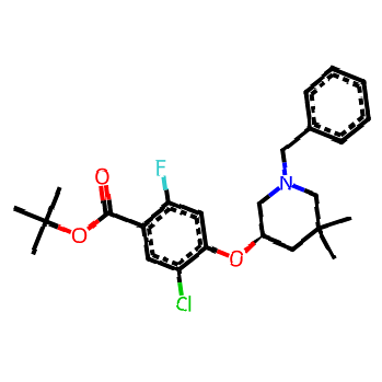 CC1(C)C[C@@H](Oc2cc(F)c(C(=O)OC(C)(C)C)cc2Cl)CN(Cc2ccccc2)C1